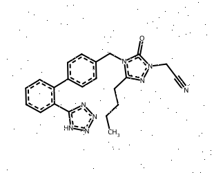 CCCCc1nn(CC#N)c(=O)n1Cc1ccc(-c2ccccc2-c2nnn[nH]2)cc1